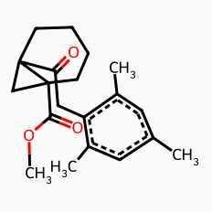 COC(=O)C12CCCCC1(C(=O)Cc1c(C)cc(C)cc1C)C2